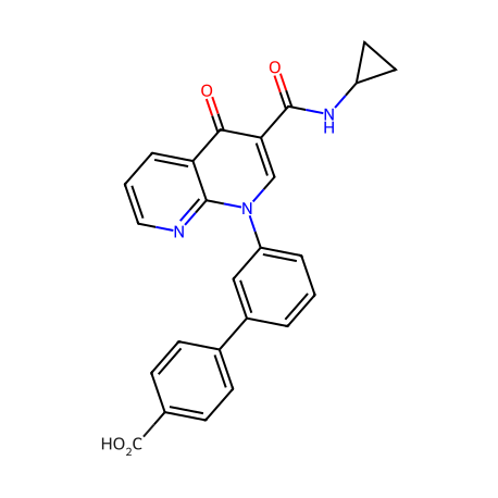 O=C(O)c1ccc(-c2cccc(-n3cc(C(=O)NC4CC4)c(=O)c4cccnc43)c2)cc1